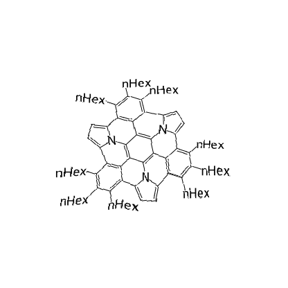 CCCCCCc1c(CCCCCC)c2c3c(c1CCCCCC)c1ccc4c5c(CCCCCC)c(CCCCCC)c(CCCCCC)c6c5c5c(c3c3c7c8c(c(CCCCCC)c(CCCCCC)c(CCCCCC)c8c8ccc6n8c75)c5ccc2n53)n14